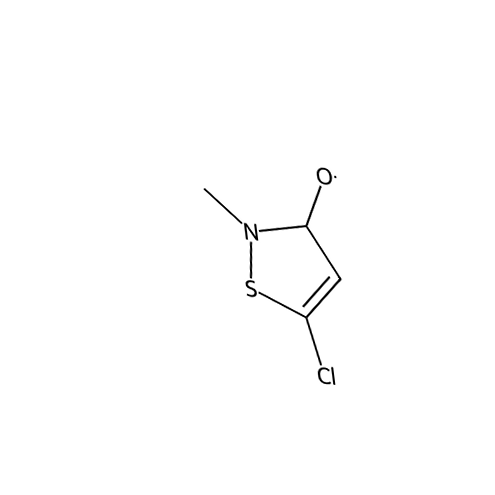 CN1SC(Cl)=CC1[O]